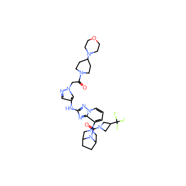 O=C(Cn1cc(Nc2nc3c(N4CC5CCC(C4)N5C(=O)N4CC(C(F)(F)F)C4)cccn3n2)cn1)N1CCC(N2CCOCC2)CC1